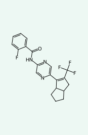 O=C(Nc1cnc(C2=C(C(F)(F)F)CC3CCCC23)cn1)c1ccccc1F